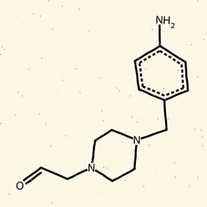 Nc1ccc(CN2CCN(CC=O)CC2)cc1